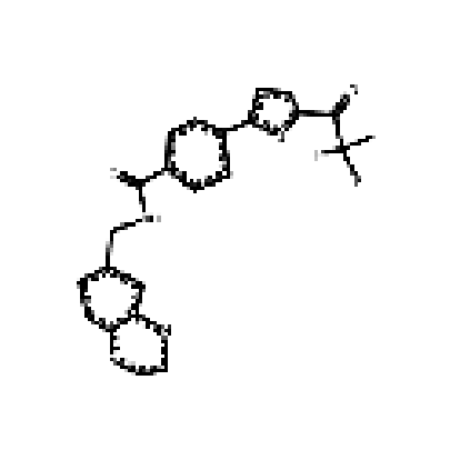 O=C(NCc1ccc2nccnc2c1)c1ccc(-c2ccc(C(=O)C(F)(F)F)s2)cc1